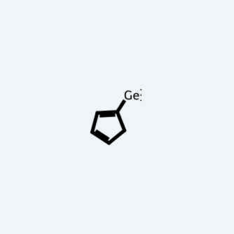 [Ge][C]1=CC=CC1